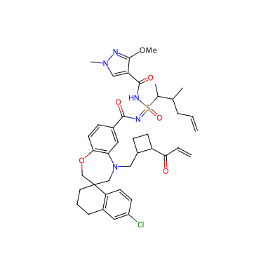 C=CCC(C)C(C)S(=O)(=NC(=O)c1ccc2c(c1)N(CC1CCC1C(=O)C=C)CC1(CCCc3cc(Cl)ccc31)CO2)NC(=O)c1cn(C)nc1OC